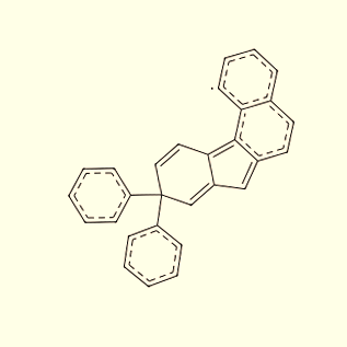 [c]1cccc2ccc3c(c12)=C1C=CC(c2ccccc2)(c2ccccc2)C=C1C=3